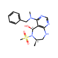 C[C@@H]1CNc2ncnc(N(C)Cc3ccccc3)c2[C@H](O)N1S(C)(=O)=O